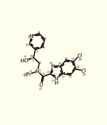 CCCN(C[C@@H](O)c1cccnc1)C(=O)c1nc2cc(Cl)c(Cl)cc2[nH]1